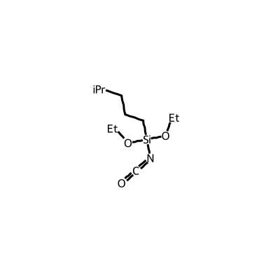 CCO[Si](CCCC(C)C)(N=C=O)OCC